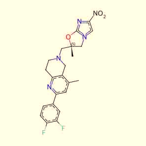 Cc1cc(-c2ccc(F)c(F)c2)nc2c1CN(C[C@@]1(C)Cn3cc([N+](=O)[O-])nc3O1)CC2